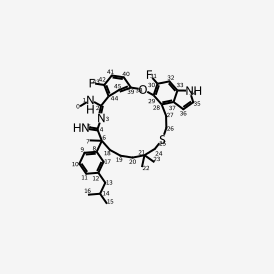 CN/C1=N\C(=N)C(C)(c2cccc(CC(C)C)c2)CCCC(C)(C)CSCCc2c(c(F)cc3[nH]ccc23)Oc2ccc(F)c1c2